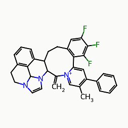 C=C1C2C(CCc3cc(F)c(F)c(F)c3-c3cc(-c4ccccc4)c(C)c[n+]31)c1cccc3c1C1N(C=CN21)CC3